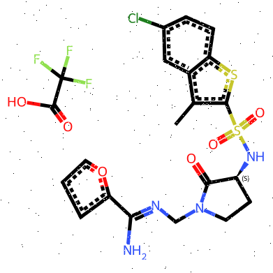 Cc1c(S(=O)(=O)N[C@H]2CCN(CN=C(N)c3ccco3)C2=O)sc2ccc(Cl)cc12.O=C(O)C(F)(F)F